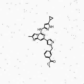 COC(=O)c1cccc(Cn2cc(-c3cc4nc(C)cn4c(Nc4cc(C5CC5)[nH]n4)n3)cn2)c1